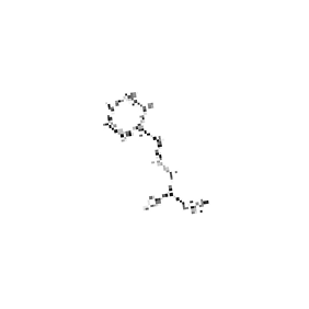 CC(C/C=C/c1cccnc1)C(=O)O